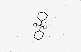 ClS(Cl)(C1CCCCC1)C1CCCCC1